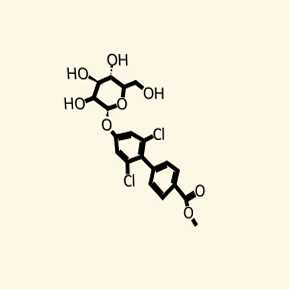 COC(=O)c1ccc(-c2c(Cl)cc(O[C@H]3OC(CO)[C@@H](O)[C@H](O)C3O)cc2Cl)cc1